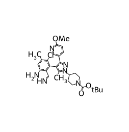 COc1ccc(-c2nn(C3CCN(C(=O)OC(C)(C)C)CC3)c(C)c2-c2c(Cl)c(C)cc(N)c2C=N)cn1